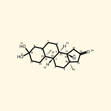 C[C@]12CC[C@H]3[C@@H](CCC4CC(O)(O)CC[C@@]43C)[C@@H]1CC(=O)C2